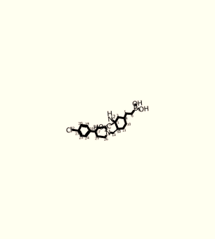 N[C@]1(C(=O)O)CC(CCB(O)O)CC[C@H]1CN1CCC(c2ccc(Cl)cc2)CC1